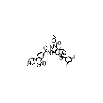 CCOC(=O)n1nc(NC(=O)c2ccc(N3CCN(C)CC3)c([N+](=O)[O-])c2)c2c1C(C)(C)N(S(=O)(=O)c1cc(F)cc(F)c1)C2